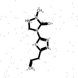 C=CCc1nnc(N2CNN(C)C2=O)s1